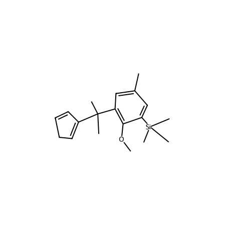 COc1c(C(C)(C)C2=CCC=C2)cc(C)cc1[Si](C)(C)C